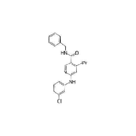 CC(C)c1cc(Nc2cccc(Cl)c2)ncc1C(=O)NCc1ccccc1